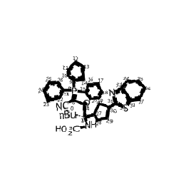 CCCC[C@](NC(=O)O)(C(=O)C(C#N)=P(c1ccccc1)(c1ccccc1)c1ccccc1)C1CCC(c2nc3ccccc3s2)C1